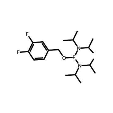 CC(C)N(C(C)C)P(OCc1ccc(F)c(F)c1)N(C(C)C)C(C)C